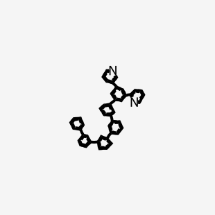 c1ccc(-c2cccc(-c3cccc(-c4cccc(-c5cccc(-c6cc(-c7cccnc7)cc(-c7ccccn7)c6)c5)c4)c3)c2)cc1